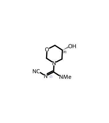 CN/C(=N/C#N)N1COC[C@H](O)C1